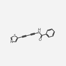 O=C(NC#CC#Cc1cncs1)c1ccccc1